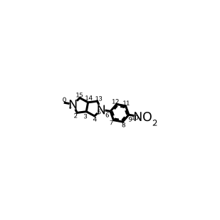 CN1CC2CN(c3ccc([N+](=O)[O-])cc3)CC2C1